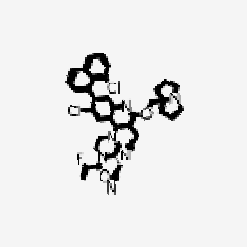 C=C(F)C(=O)N1CCN(C2=C(CC#N)C(OCC34CCCN3CCC4)=NC3C=C(c4cccc5cccc(Cl)c45)C(Cl)=CC23)C[C@@H]1CC#N